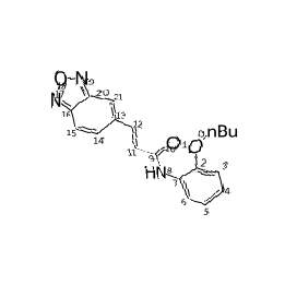 CCCCOc1ccccc1NC(=O)/C=C/c1ccc2nonc2c1